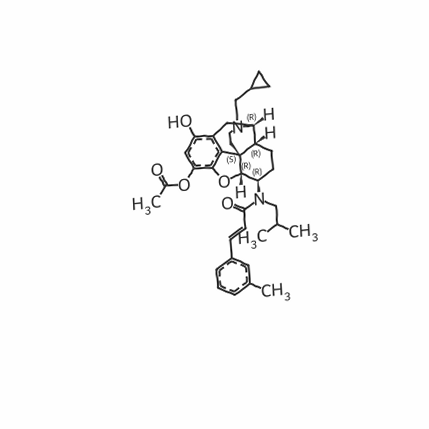 CC(=O)Oc1cc(O)c2c3c1O[C@H]1[C@H](N(CC(C)C)C(=O)C=Cc4cccc(C)c4)CC[C@H]4[C@@H](C2)N(CC2CC2)CC[C@@]341